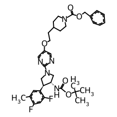 Cc1cc([C@H]2CN(c3ncc(OCCC4CCN(C(=O)OCc5ccccc5)CC4)cn3)C[C@@H]2NC(=O)OC(C)(C)C)c(F)cc1F